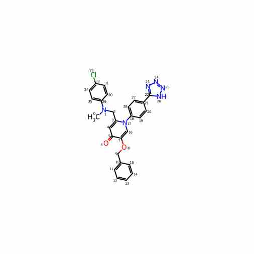 CN(Cc1cc(=O)c(OCc2ccccc2)cn1-c1ccc(-c2nnn[nH]2)cc1)c1ccc(Cl)cc1